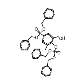 Cc1cc(P(=O)(OCc2ccccc2)OCc2ccccc2)cc(CO)c1OP(=O)(OCc1ccccc1)OCc1ccccc1